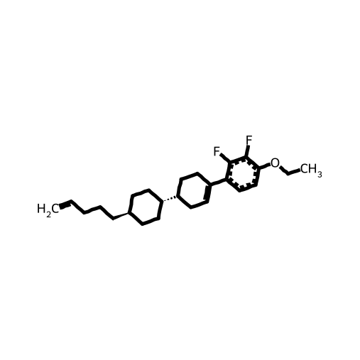 C=CCCC[C@H]1CC[C@H](C2CC=C(c3ccc(OCC)c(F)c3F)CC2)CC1